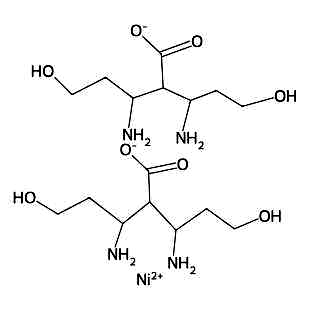 NC(CCO)C(C(=O)[O-])C(N)CCO.NC(CCO)C(C(=O)[O-])C(N)CCO.[Ni+2]